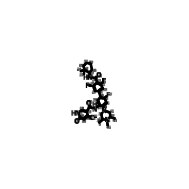 CC1CN(c2cc(F)c(-c3cc(F)c(C(=O)NC4CCCCC4(C)C)c(F)c3)cc2NC(=O)c2c[nH]c(=O)cc2C(F)(F)F)CC(C)N1C